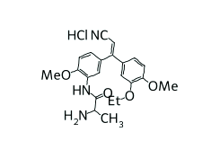 CCOc1cc(C(=CC#N)c2ccc(OC)c(NC(=O)C(C)N)c2)ccc1OC.Cl